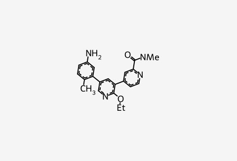 CCOc1ncc(-c2cc(N)ccc2C)cc1-c1ccnc(C(=O)NC)c1